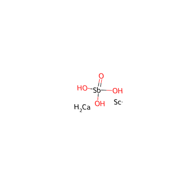 [CaH2].[O]=[Sb]([OH])([OH])[OH].[Sc]